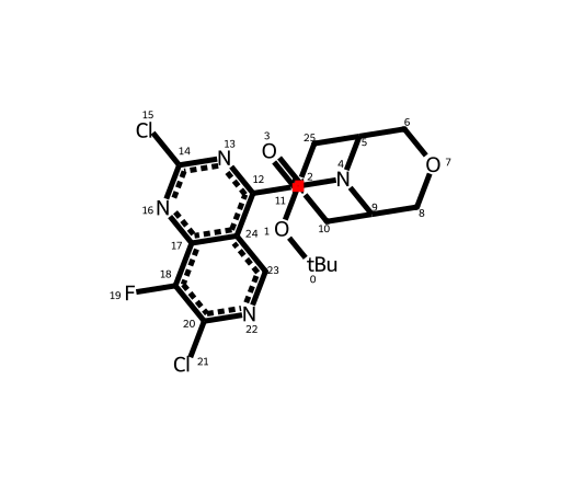 CC(C)(C)OC(=O)N1C2COCC1CN(c1nc(Cl)nc3c(F)c(Cl)ncc13)C2